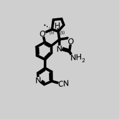 C[C@]12CCC[C@H]1C1(COC(N)=N1)c1cc(-c3cncc(C#N)c3)ccc1O2